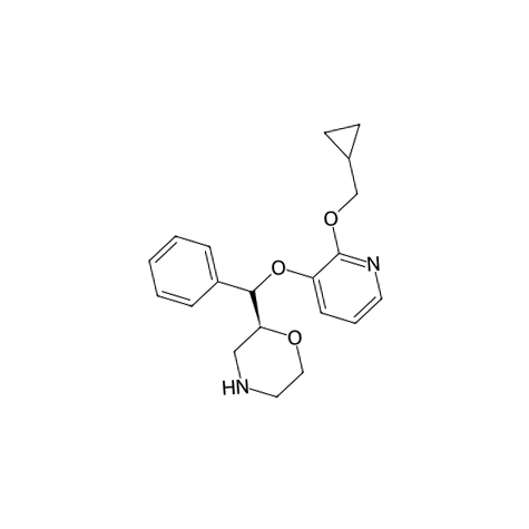 c1ccc(C(Oc2cccnc2OCC2CC2)[C@@H]2CNCCO2)cc1